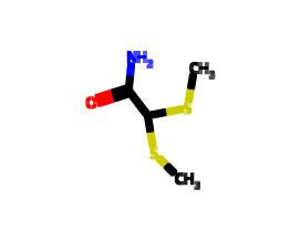 CSC(SC)C(N)=O